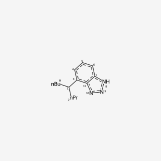 CCCCC(CCC)c1cccc2[nH]nnc12